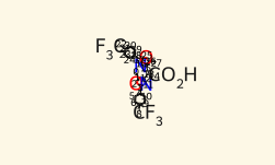 Cc1oc(-c2ccc(C(F)(F)F)cc2)nc1C(C(=O)O)c1nc(-c2ccc(C(F)(F)F)cc2)oc1C